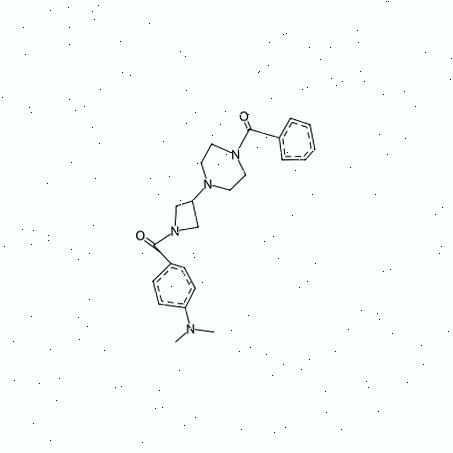 CN(C)c1ccc(C(=O)N2CC(N3CCN(C(=O)c4ccccc4)CC3)C2)cc1